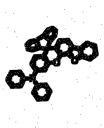 c1ccc(N(c2ccccc2)c2ccc3c(c2)Oc2c(ccc4c2oc2ccccc24)C32c3ccccc3-c3ccccc32)cc1